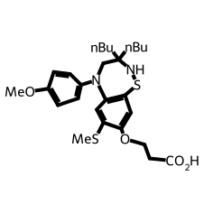 CCCCC1(CCCC)CN(c2ccc(OC)cc2)c2cc(SC)c(OCCC(=O)O)cc2SN1